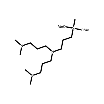 CO[Si](C)(CCCN(CCCN(C)C)CCCN(C)C)OC